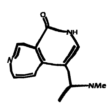 CNC(C)c1c[nH]c(=O)c2cnccc12